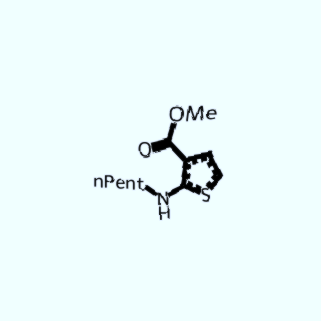 CCCCCNc1sccc1C(=O)OC